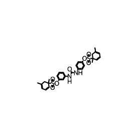 CC1=CC=CC(C)(S(=O)(=O)Oc2ccc(NC(=O)Nc3cccc(OS(=O)(=O)C4(C)C=CC=C(C)C4)c3)cc2)C1